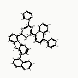 c1ccc(C2=NC(c3cccc4oc5c(-c6cccc7ccccc67)cccc5c34)NC(c3ccc(-c4ccccc4)c4ccccc34)=N2)cc1